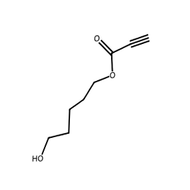 C#CC(=O)OCCCCCO